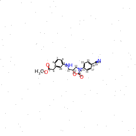 COC(=O)Cc1cccc(NCC2CN(c3ccc(C#N)cc3)C(=O)O2)c1